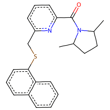 CC1CCC(C)N1C(=O)c1cccc(CSc2cccc3ccccc23)n1